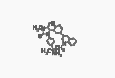 Cn1c(=O)n(-c2ccc(C(C)(C)N)cc2)c2c3cc(-c4cnc5ccccc5c4)ccc3ncc21